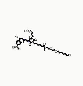 CCN(CC)c1ccc2c(c1)O/C(=C\C=C1\C(=O)N(CCCCCC(=O)NCCOCCOCCCCCCCl)C(=O)N(CCCS(=O)(=O)O)C1=O)C=C2C(C)(C)C